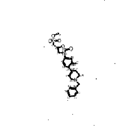 COS(=O)(=O)C[C@@H]1CN(c2ccc(C3=CCN(Cc4ccccc4)CC3)c(F)c2)C(=O)O1